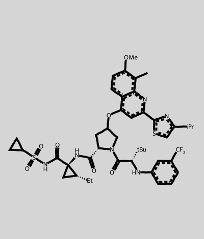 CC[C@@H]1C[C@]1(NC(=O)[C@@H]1CC(Oc2cc(-c3nc(C(C)C)cs3)nc3c(C)c(OC)ccc23)CN1C(=O)[C@@H](Nc1cccc(C(F)(F)F)c1)C(C)(C)C)C(=O)NS(=O)(=O)C1CC1